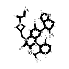 C=CC(=O)N1CC(Cn2c(=O)c(=O)n(-c3c(C)ccnc3C(C)C)c3cc(-c4c(C)ccc5[nH]ncc45)c(Cl)cc32)C1